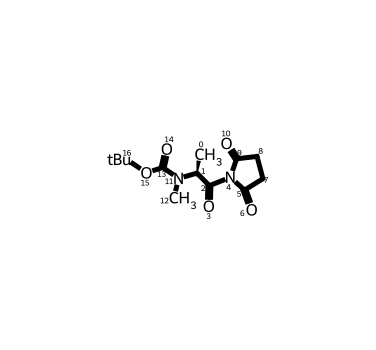 C[C@@H](C(=O)N1C(=O)CCC1=O)N(C)C(=O)OC(C)(C)C